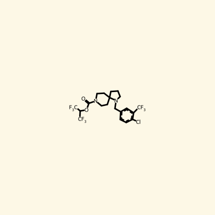 O=C(OC(C(F)(F)F)C(F)(F)F)N1CCC2(CCCN2Cc2ccc(Cl)c(C(F)(F)F)c2)CC1